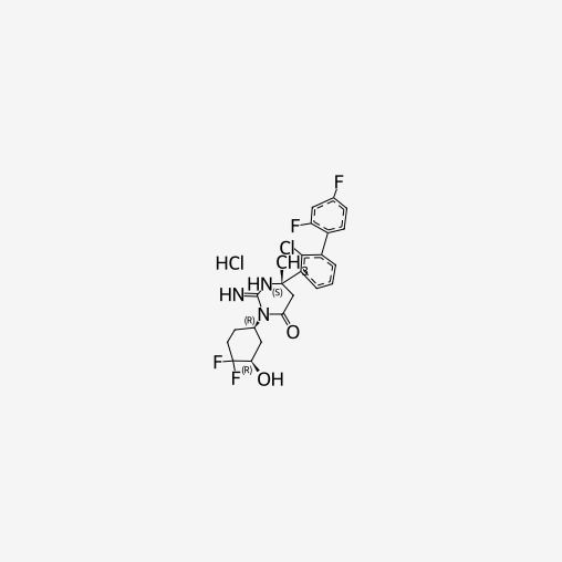 C[C@@]1(c2cccc(-c3ccc(F)cc3F)c2Cl)CC(=O)N([C@@H]2CCC(F)(F)[C@H](O)C2)C(=N)N1.Cl